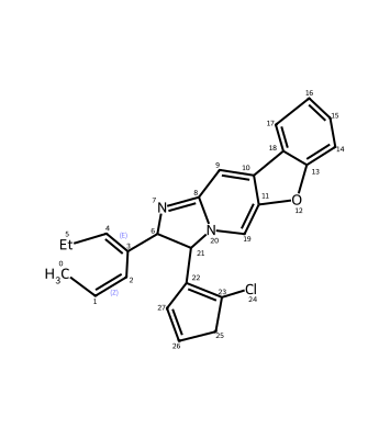 C/C=C\C(=C/CC)C1N=C2C=c3c(oc4ccccc34)=CN2C1C1=C(Cl)CC=C1